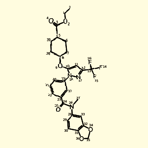 CCOC(=O)[C@H]1CC[C@@H](Oc2cc(C(F)(F)F)nn2-c2cccc(C(=O)N(C)c3ccc4c(c3)OCO4)c2)CC1